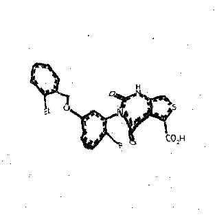 CCc1ccccc1COc1ccc(F)c(-n2c(=O)[nH]c3csc(C(=O)O)c3c2=O)c1